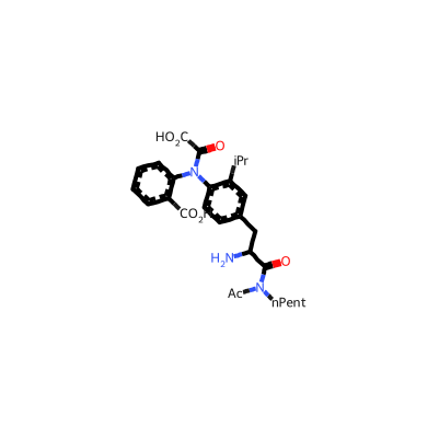 CCCCCN(C(C)=O)C(=O)C(N)Cc1ccc(N(C(=O)C(=O)O)c2ccccc2C(=O)O)c(C(C)C)c1